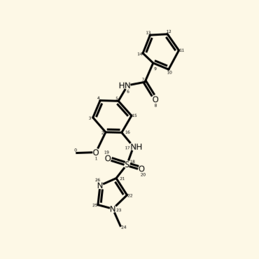 COc1ccc(NC(=O)c2ccccc2)cc1NS(=O)(=O)c1cn(C)cn1